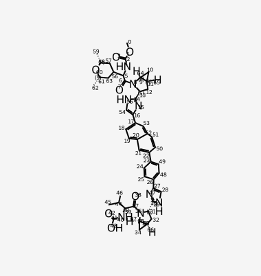 COC(=O)NC(C(=O)N1[C@@H]2C[C@@H]2C[C@H]1c1nc(-c2ccc3cc(-c4ccc(-c5c[nH]c([C@@H]6C[C@H]7C[C@H]7N6C(=O)[C@@H](NC(=O)O)C(C)C)n5)cc4)ccc3c2)c[nH]1)C1C[C@@H](C)O[C@@H](C)C1